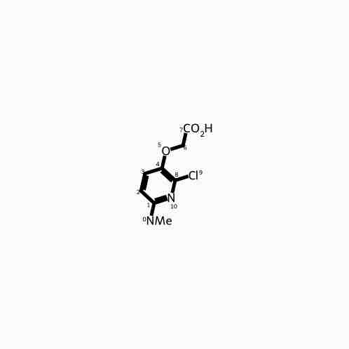 CNc1ccc(OCC(=O)O)c(Cl)n1